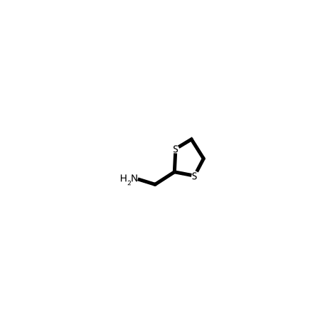 NCC1SCCS1